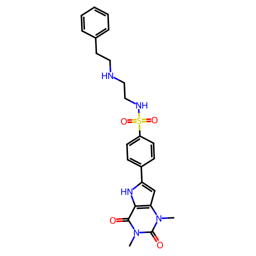 Cn1c(=O)c2[nH]c(-c3ccc(S(=O)(=O)NCCNCCc4ccccc4)cc3)cc2n(C)c1=O